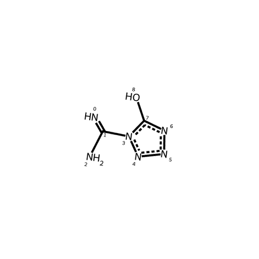 N=C(N)n1nnnc1O